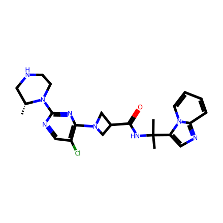 C[C@@H]1CNCCN1c1ncc(Cl)c(N2CC(C(=O)NC(C)(C)c3cnc4ccccn34)C2)n1